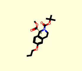 CCCOc1ccc2c(c1)CCN(C(=O)OC(C)(C)C)[C@H]2C(=O)OC